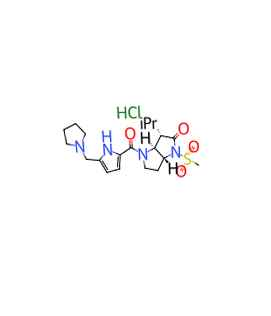 CC(C)[C@@H]1C(=O)N(S(C)(=O)=O)[C@@H]2CCN(C(=O)c3ccc(CN4CCCC4)[nH]3)[C@H]21.Cl